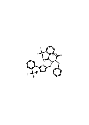 O=C(O)C(Cc1ccccc1)N(Cc1ccc(-c2ccccc2C(F)(F)F)o1)C(=O)c1ccccc1C(F)(F)F